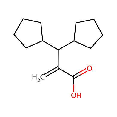 C=C(C(=O)O)C(C1CCCC1)C1CCCC1